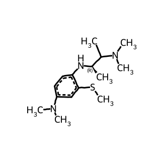 CSc1cc(N(C)C)ccc1N[C@H](C)C(C)N(C)C